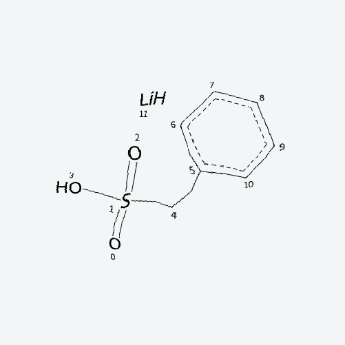 O=S(=O)(O)Cc1ccccc1.[LiH]